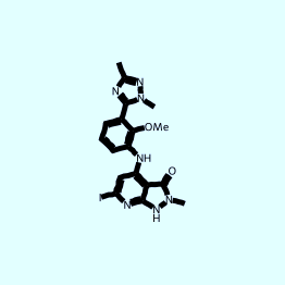 COc1c(Nc2cc(I)nc3[nH]n(C)c(=O)c23)cccc1-c1nc(C)nn1C